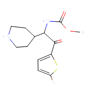 CC(C)(C)OC(=O)NC(C(=O)c1ccc(Br)s1)C1CCNCC1